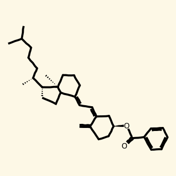 C=C1CC[C@H](OC(=O)c2ccccc2)C/C1=C/C=C1CCC[C@@]2(C)C1CC[C@@H]2[C@H](C)CCCC(C)C